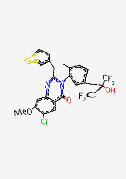 COc1cc2nc(Cc3ccsc3)n(-c3cc(C(O)(C(F)(F)F)C(F)(F)F)ccc3C)c(=O)c2cc1Cl